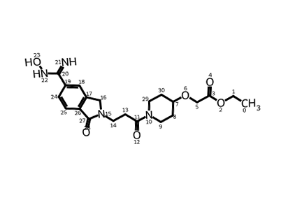 CCOC(=O)COC1CCN(C(=O)CCN2Cc3cc(C(=N)NO)ccc3C2=O)CC1